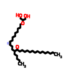 CCCCCCCCCCCCCCCC(=O)C(CC/C=C\CCCCCCCCOC(CO)CO)CCCCC